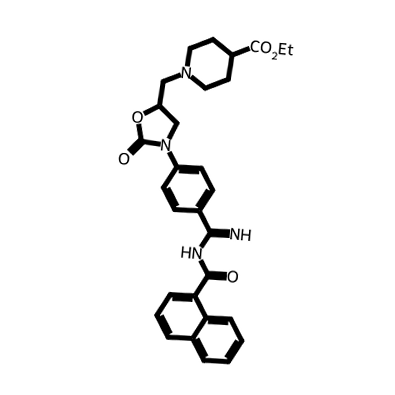 CCOC(=O)C1CCN(CC2CN(c3ccc(C(=N)NC(=O)c4cccc5ccccc45)cc3)C(=O)O2)CC1